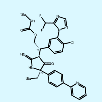 CC(C)(C)C[C@]1(c2ccc(-c3ccccn3)cc2)NC(=N)N([C@H](COC(=O)NC(C)(C)C)c2ccc(Cl)c(-n3ncnc3C(F)F)c2)C1=O